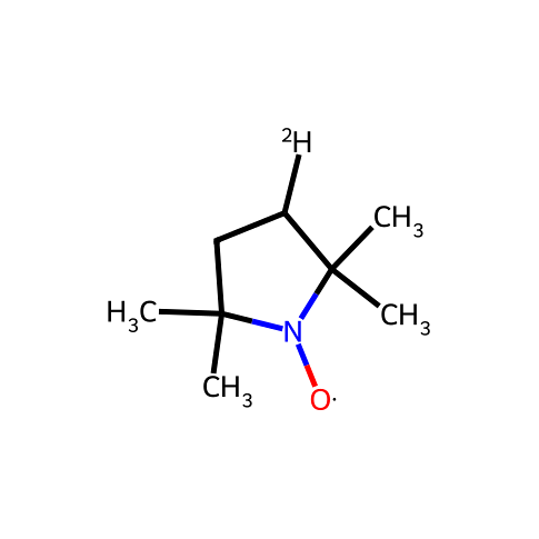 [2H]C1CC(C)(C)N([O])C1(C)C